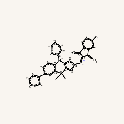 Cc1ccc2c(c1)C(=O)/C(=C/c1cc3c(s1)N(c1ccccc1)c1ccc(-c4ccccc4)cc1C3(C)C)C2=O